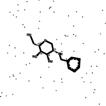 OC[C@@H]1OC[C@H](NCc2ccccc2)[C@@H](O)[C@H]1O